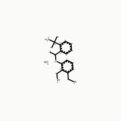 CC(C)Cc1cccc(OC(C)c2ccccc2C(C)(C)N)c1CC(C)C.Cl